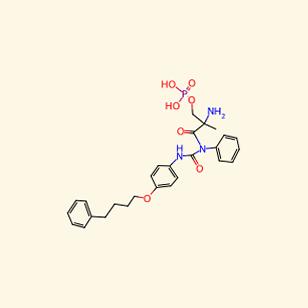 CC(N)(COP(=O)(O)O)C(=O)N(C(=O)Nc1ccc(OCCCCc2ccccc2)cc1)c1ccccc1